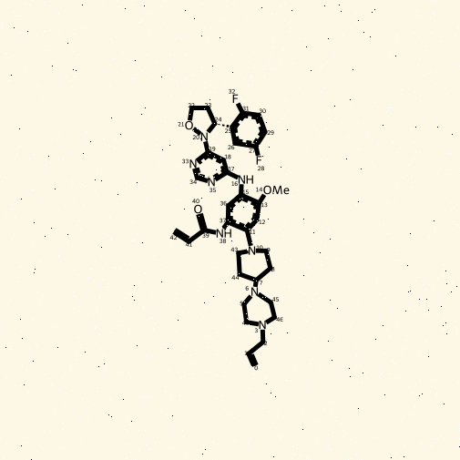 C=CCN1CCN(C2CCN(c3cc(OC)c(Nc4cc(N5OCC[C@@H]5c5cc(F)ccc5F)ncn4)cc3NC(=O)C=C)CC2)CC1